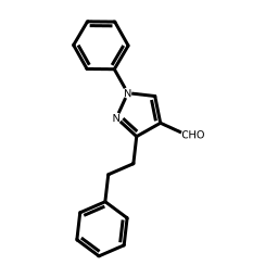 O=Cc1cn(-c2ccccc2)nc1CCc1ccccc1